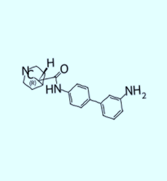 Nc1cccc(-c2ccc(NC(=O)[C@H]3CN4CCC3CC4)cc2)c1